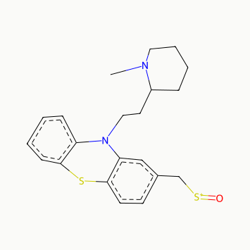 CN1CCCCC1CCN1c2ccccc2Sc2ccc(C[S+]=O)cc21